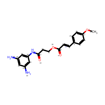 COc1ccc(/C=C/C(=O)OCCC(=O)Nc2cc(N)cc(N)c2)cc1